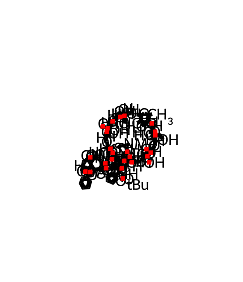 CNC(CSCC1O[C@@H]2O[C@@H]3C(CO)O[C@H](O[C@@H]4C(CO)O[C@H](O[C@@H]5C(CO)O[C@H](O[C@@H]6C(C)O[C@H](O[C@@H]7C(CO)O[C@H](O[C@@H]8C(CO)O[C@H](O[C@H]1C(O)[C@@H]2O)[C@@H](O)C8O)[C@@H](O)C7O)C(O)[C@H]6O)C(O)[C@H]5O)C(O)[C@H]4O)[C@@H](O)C3O)C(=O)NCC(=O)O[C@@H](C(=O)O[C@H]1C[C@@]2(O)[C@@H](OC(=O)c3ccccc3)[C@@H]3[C@]4(OC(C)=O)CO[C@@H]4C[C@H](O)[C@@]3(C)C(=O)[C@H](O)C(=C1C)C2(C)C)[C@@H](NC(=O)OC(C)(C)C)c1ccccc1